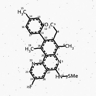 CSNc1nc2c(C)c(CC(=O)O)c(-c3ccc(C)cc3)c(C)c2c2ncc(F)cc12